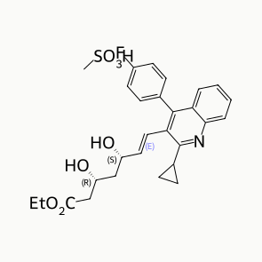 CCOC(=O)C[C@H](O)C[C@H](O)/C=C/c1c(C2CC2)nc2ccccc2c1-c1ccc(F)cc1.CS(=O)(=O)O